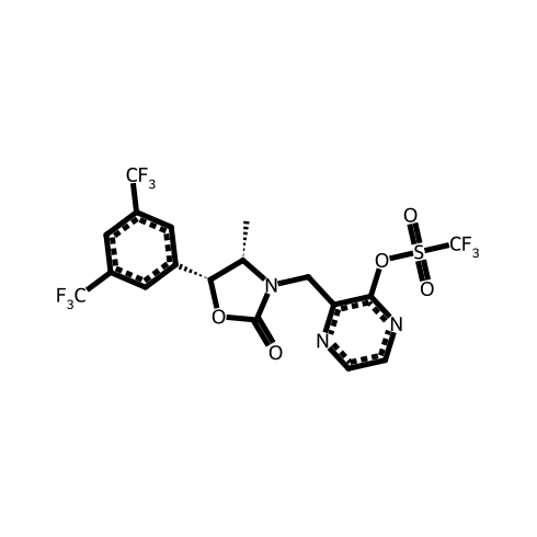 C[C@H]1[C@@H](c2cc(C(F)(F)F)cc(C(F)(F)F)c2)OC(=O)N1Cc1nccnc1OS(=O)(=O)C(F)(F)F